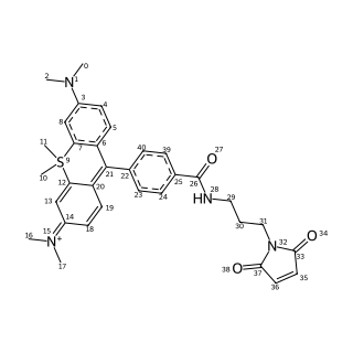 CN(C)c1ccc2c(c1)S(C)(C)C1=CC(=[N+](C)C)C=CC1=C2c1ccc(C(=O)NCCCN2C(=O)C=CC2=O)cc1